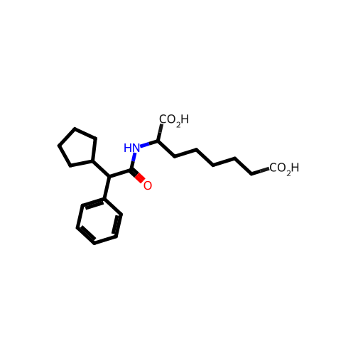 O=C(O)CCCCCC(NC(=O)C(c1ccccc1)C1CCCC1)C(=O)O